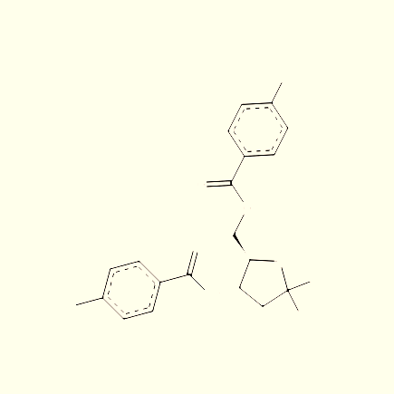 O=C(OC[C@H]1OC(O)(Cl)C[C@@H]1OC(=O)c1ccc(Cl)cc1)c1ccc(Cl)cc1